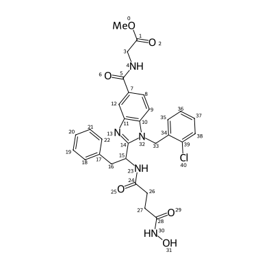 COC(=O)CNC(=O)c1ccc2c(c1)nc(C(Cc1ccccc1)NC(=O)CCC(=O)NO)n2Cc1ccccc1Cl